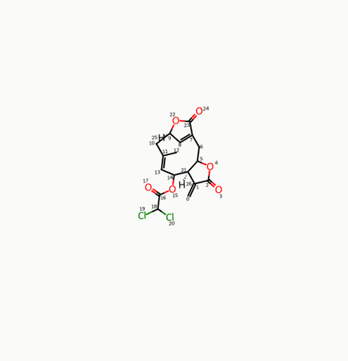 C=C1C(=O)OC2CC3=C[C@@H](C/C(C)=C/C(OC(=O)C(Cl)Cl)[C@H]12)OC3=O